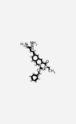 CCOC(=O)C1CC2C/C(=C/C/C(=N/N)NN)CCC2CN1C(=O)OCc1ccccc1